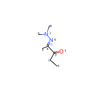 CCC(=O)/C(C)=N/N(C)C